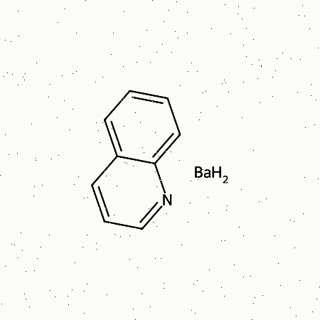 [BaH2].c1ccc2ncccc2c1